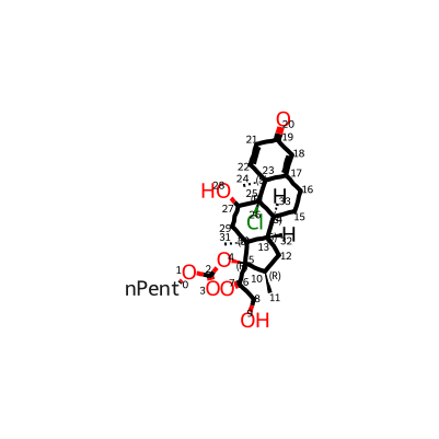 CCCCCOC(=O)O[C@]1(C(=O)CO)[C@H](C)C[C@H]2[C@@H]3CCC4=CC(=O)C=C[C@]4(C)[C@@]3(Cl)C(O)C[C@@]21C